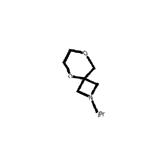 CC(C)N1CC2(COCCO2)C1